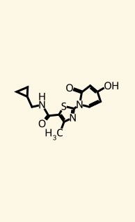 Cc1nc(-n2ccc(O)cc2=O)sc1C(=O)NCC1CC1